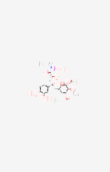 COc1cc(CC(O)(CC(=O)C(=O)N(C)O)c2ccc(O)c(O)c2)cc(OC)c1OC